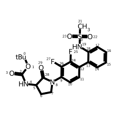 CC(C)(C)OC(=O)NC1CCN(c2ccc(-c3ccccc3NS(C)(=O)=O)c(F)c2F)C1=O